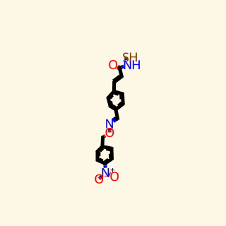 O=C(C=Cc1ccc(C=NOCc2ccc([N+](=O)[O-])cc2)cc1)NS